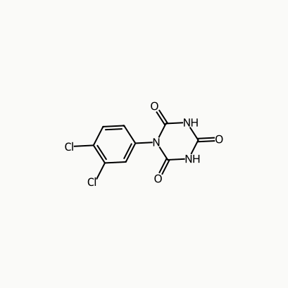 O=c1[nH]c(=O)n(-c2ccc(Cl)c(Cl)c2)c(=O)[nH]1